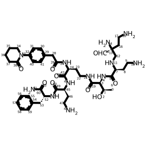 C[C@@H](O)[C@H](NC(=O)[C@H](CCN)NC[C@](N)(C=O)CCN)C(=O)NCC[C@H](NC(=O)Cc1ccc(N2CCCCC2=O)cc1)C(=O)N[C@@H](CCN)C(=O)N[C@H](Cc1ccccc1)C(N)=O